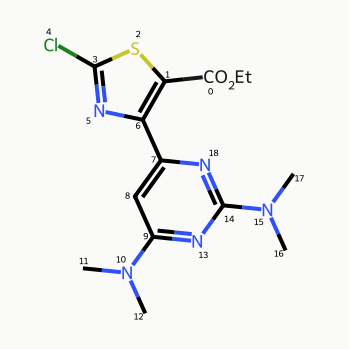 CCOC(=O)c1sc(Cl)nc1-c1cc(N(C)C)nc(N(C)C)n1